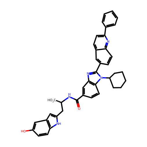 O=C(NC(Cc1cc2cc(O)ccc2[nH]1)C(=O)O)c1ccc2c(c1)nc(-c1ccc3nc(-c4ccccc4)ccc3c1)n2C1CCCCC1